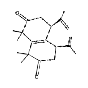 C=C(C)[C@H]1CC(=O)C(C)(C)C2=C1[C@H](C(=C)C)CC(=O)C2(C)C